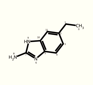 CCc1ccc2nc(N)[nH]c2c1